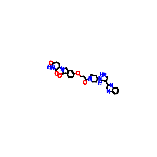 N=C/C(=C\NC1CCN(C(=O)CCOc2ccc3c(c2)CN(C2CCC(=O)NC2=O)C3=O)CC1)c1cnc2ccccc2n1